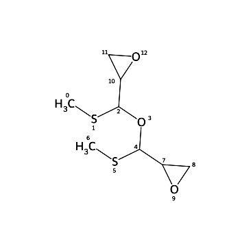 CSC(OC(SC)C1CO1)C1CO1